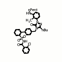 CCCCCNc1cccc(-n2nc(CCCC)n(Cc3ccc(-c4ccccc4S(=O)(=O)NC(=O)c4ccccc4Cl)cc3)c2=O)c1C